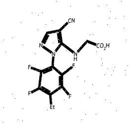 CCc1c(F)c(F)c(-n2ncc(C#N)c2NCC(=O)O)c(F)c1F